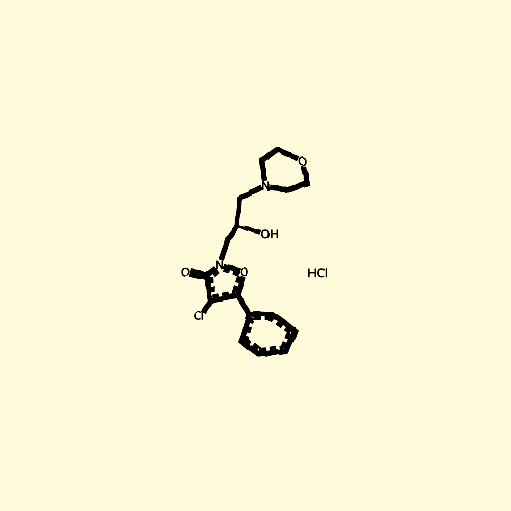 Cl.O=c1c(Cl)c(-c2ccccc2)on1C[C@H](O)CN1CCOCC1